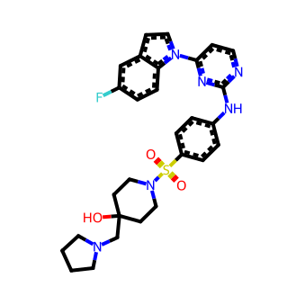 O=S(=O)(c1ccc(Nc2nccc(-n3ccc4cc(F)ccc43)n2)cc1)N1CCC(O)(CN2CCCC2)CC1